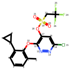 Cc1cccc(C2CC2)c1Oc1nnc(Cl)cc1OS(=O)(=O)CC(F)(F)F